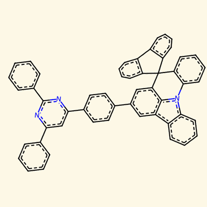 c1ccc(-c2cc(-c3ccc(-c4cc5c6c(c4)c4ccccc4n6-c4ccccc4C54c5ccccc5-c5ccccc54)cc3)nc(-c3ccccc3)n2)cc1